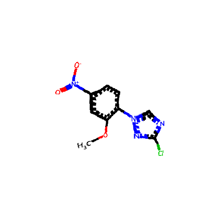 COc1cc([N+](=O)[O-])ccc1-n1cnc(Cl)n1